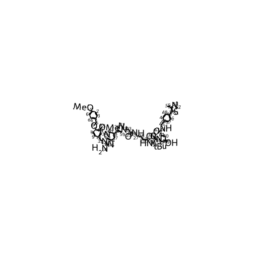 COc1ccc(COc2ccc(Cn3c(N)nc4cc(-c5cnn(CC(=O)NCCCC(=O)N[C@H](C(=O)N6C[C@H](O)C[C@H]6C(=O)NCc6ccc(-c7scnc7C)cc6)C(C)(C)C)c5)cnc43)cc2OC)cc1